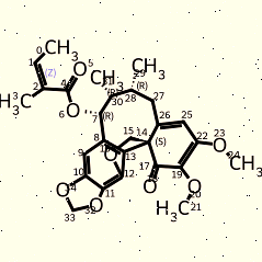 C/C=C(/C)C(=O)O[C@H]1c2cc3c(c4c2[C@@]2(CO4)C(=O)C(OC)=C(OC)C=C2C[C@@H](C)[C@H]1C)OCO3